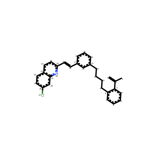 C=C(C)c1ccccc1CCCCc1cccc(C=Cc2ccc3ccc(Cl)cc3n2)c1